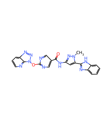 Cn1nc(NC(=O)c2cnc(On3nnc4cccnc43)nc2)cc1-c1nc2ccccc2[nH]1